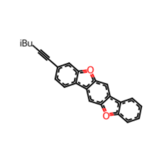 CCC(C)C#Cc1ccc2c(c1)oc1cc3c(cc12)oc1ccccc13